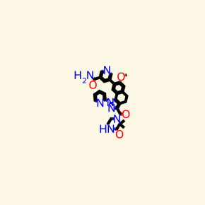 COc1cc2c(cc1-c1cncc(C(N)=O)c1)-c1c(c(C(=O)N3CCNC(=O)C3(C)C)nn1-c1ccccn1)CC2